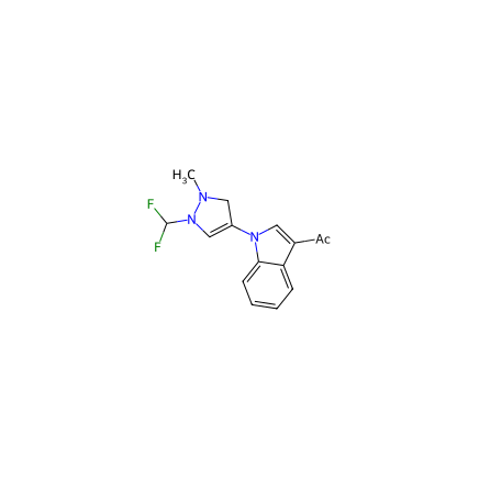 CC(=O)c1cn(C2=CN(C(F)F)N(C)C2)c2ccccc12